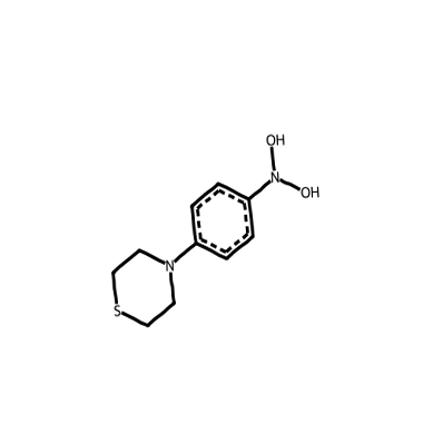 ON(O)c1ccc(N2CCSCC2)cc1